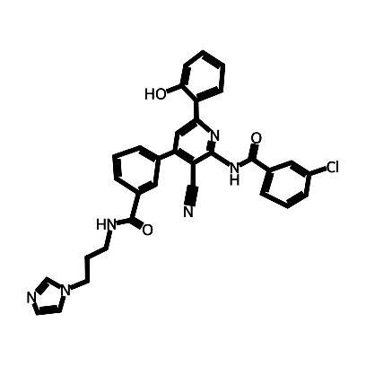 N#Cc1c(-c2cccc(C(=O)NCCCn3ccnc3)c2)cc(-c2ccccc2O)nc1NC(=O)c1cccc(Cl)c1